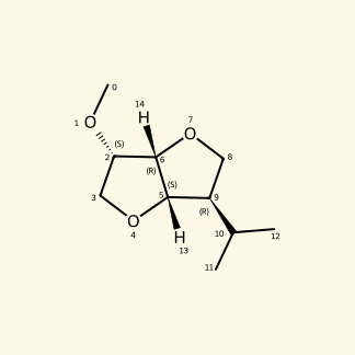 CO[C@H]1CO[C@@H]2[C@H]1OC[C@H]2C(C)C